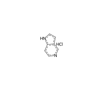 Cl.c1cc2[nH]ccc2cn1